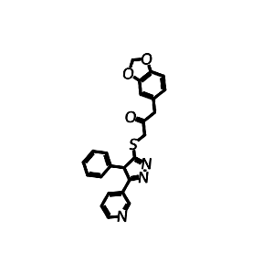 O=C(CSC1=NN=C(c2cccnc2)C1c1ccccc1)Cc1ccc2c(c1)OCO2